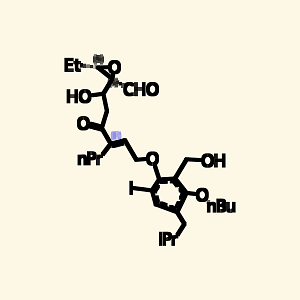 CCCCOc1c(CC(C)C)cc(I)c(OC/C=C(\CCC)C(=O)CC(O)[C@]2(C=O)O[C@H]2CC)c1CO